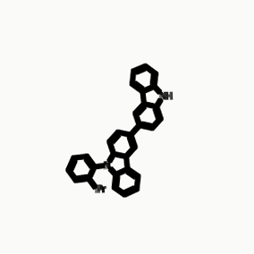 CC(C)c1ccccc1N1c2ccccc2C2C=C(c3ccc4[nH]c5ccccc5c4c3)C=CC21